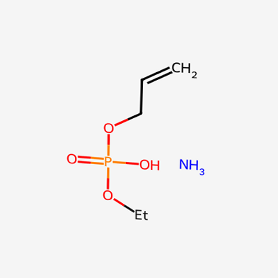 C=CCOP(=O)(O)OCC.N